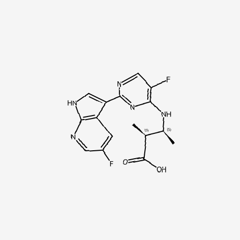 C[C@H](Nc1nc(-c2c[nH]c3ncc(F)cc23)ncc1F)[C@H](C)C(=O)O